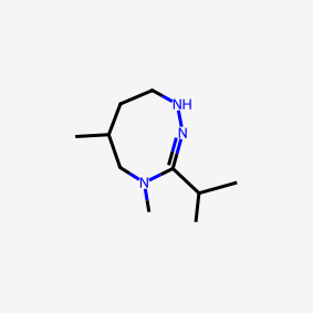 CC1CCN/N=C(/C(C)C)N(C)C1